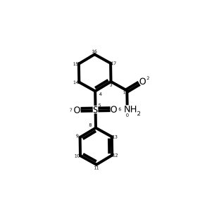 NC(=O)C1=C(S(=O)(=O)c2ccccc2)CCCC1